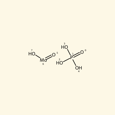 O=P(O)(O)O.[O]=[Mo][OH]